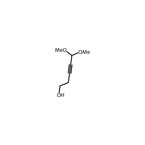 COC(C#CCCO)OC